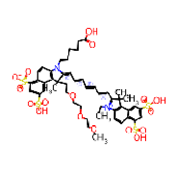 CC[N+]1=C(/C=C/C=C/C=C/C=C2/N(CCCCCC(=O)O)c3ccc4c(S(=O)(=O)[O-])cc(S(=O)(=O)O)cc4c3C2(C)CCOCCOCCOC)C(C)(C)c2c1ccc1c(S(=O)(=O)O)cc(S(=O)(=O)O)cc21